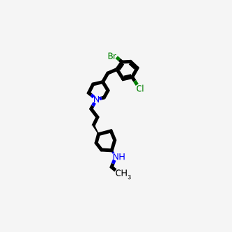 CCN[C@H]1CC[C@@H](CCCN2CCC(Cc3cc(Cl)ccc3Br)CC2)CC1